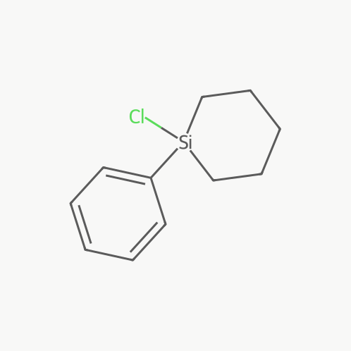 Cl[Si]1(c2ccccc2)CCCCC1